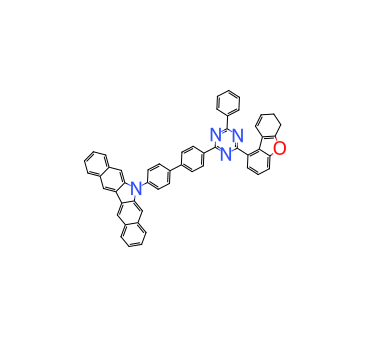 C1=Cc2c(oc3cccc(-c4nc(-c5ccccc5)nc(-c5ccc(-c6ccc(-n7c8cc9ccccc9cc8c8cc9ccccc9cc87)cc6)cc5)n4)c23)CC1